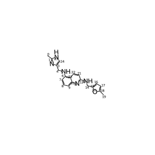 Cc1nc(CNc2cccc3nc(NCc4ccc(C)o4)ccc23)c[nH]1